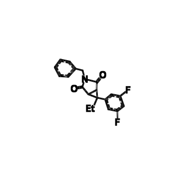 CCC1(c2cc(F)cc(F)c2)C2C(=O)N(Cc3ccccc3)C(=O)C21